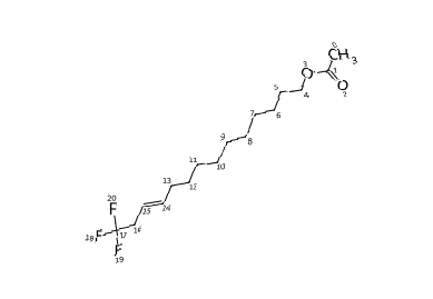 CC(=O)OCCCCCCCCCCC=CCC(F)(F)F